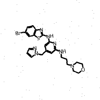 Brc1ccc2nc(Nc3cc(Cn4cccn4)cc(NCCCN4CCOCC4)n3)sc2c1